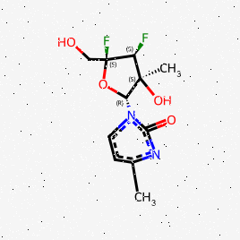 Cc1ccn([C@@H]2O[C@](F)(CO)[C@@H](F)[C@@]2(C)O)c(=O)n1